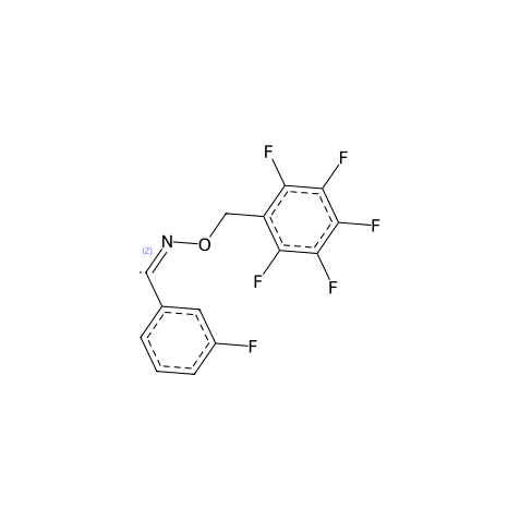 Fc1cccc(/[C]=N\OCc2c(F)c(F)c(F)c(F)c2F)c1